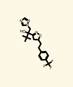 CC(C)(C)C(O)(Cn1cncn1)C1=NOC(CCc2ccc(C(F)(F)F)cc2)C1